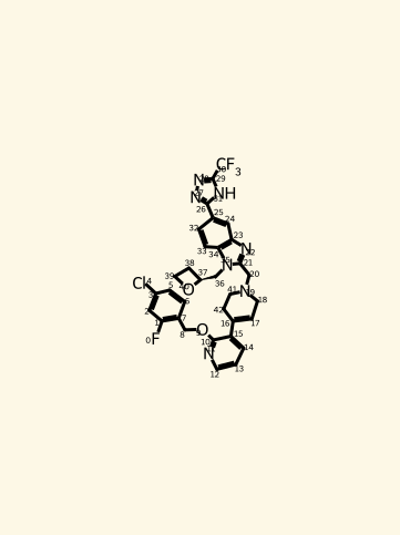 Fc1cc(Cl)ccc1COc1ncccc1C1=CCN(Cc2nc3cc(-c4nnc(C(F)(F)F)[nH]4)ccc3n2C[C@@H]2CCO2)CC1